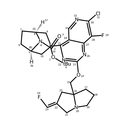 CC(C)(C)OC(=O)N1[C@@H]2CC[C@H]1CN(c1nc(OCC34CCCN3CC(=CF)C4)nc3c(F)c(Cl)ncc13)C2